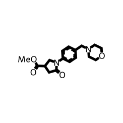 COC(=O)C1CC(=O)N(c2ccc(CN3CCOCC3)cc2)C1